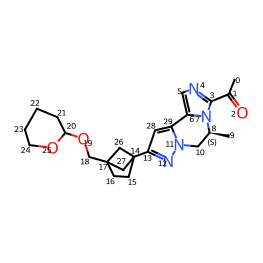 CC(=O)c1ncc2n1[C@@H](C)Cn1nc(C34CCC(COC5CCCCO5)(C3)C4)cc1-2